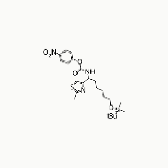 Cc1nc(C(CCCCCO[Si](C)(C)C(C)(C)C)NC(=O)Oc2ccc([N+](=O)[O-])cc2)cs1